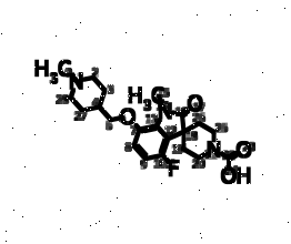 CN1CCC(COc2ccc(F)c3c2N(C)C(=O)C32CCN(C(=O)O)CC2)CC1